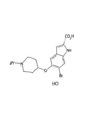 CC(C)N1CCC(Oc2cc3cc(C(=O)O)[nH]c3cc2Br)CC1.Cl